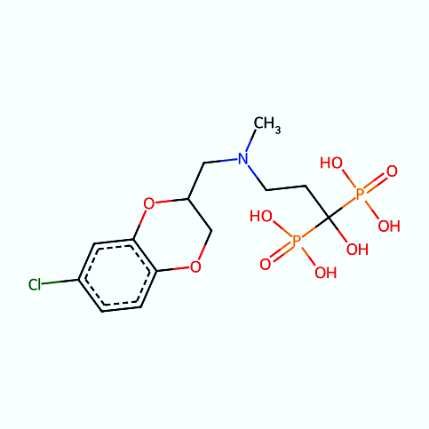 CN(CCC(O)(P(=O)(O)O)P(=O)(O)O)CC1COc2ccc(Cl)cc2O1